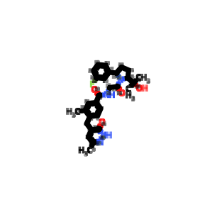 Cc1cc(Cc2ccc(C(=O)NCC(=O)N3C(c4cccc(F)c4)CCC3C(C)(C)O)cc2C)c(=O)[nH]n1